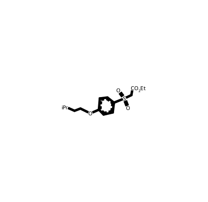 CCOC(=O)CS(=O)(=O)c1ccc(OCCC(C)C)cc1